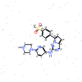 CN1CCN(c2ccc(Nc3ncc4ccc(-c5ccc(S(C)(=O)=O)cc5)n4n3)cn2)CC1